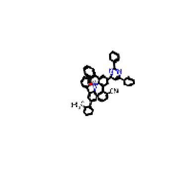 Cc1ccccc1-c1ccc2c(c1)c1ccccc1n2-c1c(-c2ccccc2C#N)cc(-c2cc(-c3ccccc3)nc(-c3ccccc3)n2)cc1-c1ccccc1C#N